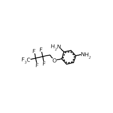 Nc1ccc(OCC(F)(F)C(F)(F)C(F)(F)F)c(N)c1